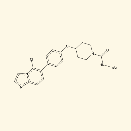 CCCCNC(=O)N1CCC(Oc2ccc(-c3ccc4nccn4c3Cl)cc2)CC1